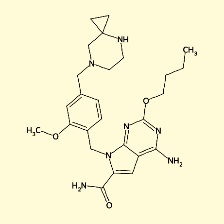 CCCCOc1nc(N)c2cc(C(N)=O)n(Cc3ccc(CN4CCNC5(CC5)C4)cc3OC)c2n1